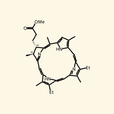 CCC1=C(C)c2cc3[nH]c(cc4nc(c(C)c5cc(C)c(cc1n2)[nH]5)[C@@H](CCC(=O)OC)[C@@H]4C)c(C)c3CC